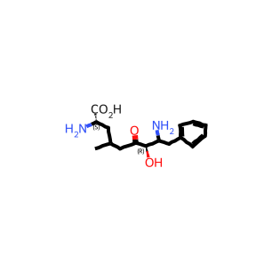 CC(CC(=O)[C@H](O)C(N)Cc1ccccc1)C[C@H](N)C(=O)O